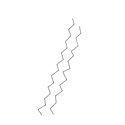 [CH2]CCCCCCCCCCCCCCC.[CH2]CCCCCCCCCCCCCCCCC